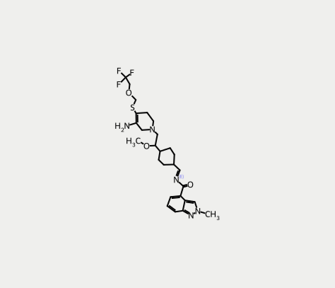 COC(CN1CCC(SCOCC(F)(F)F)=C(N)C1)C1CCC(/C=N/C(=O)c2cccc3nn(C)cc23)CC1